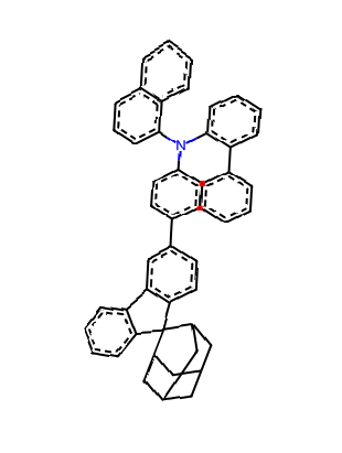 c1ccc(-c2ccccc2N(c2ccc(-c3ccc4c(c3)-c3ccccc3C43C4CC5CC(C4)CC3C5)cc2)c2cccc3ccccc23)cc1